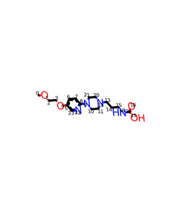 COCCOc1ccc(N2CCN(CCCNC(=O)O)CC2)nc1